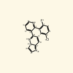 Fc1ccc(Cl)cc1-c1ncccc1-c1ccc2nccn2n1